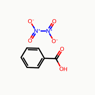 O=C(O)c1ccccc1.O=[N+]([O-])[N+](=O)[O-]